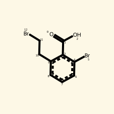 O=C(O)c1c(Br)cccc1CCBr